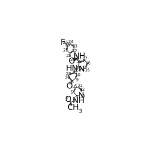 CC(=O)Nc1cc(Oc2ccc(Nc3ncccc3C(=O)Nc3ccc(F)cc3)cc2)ccn1